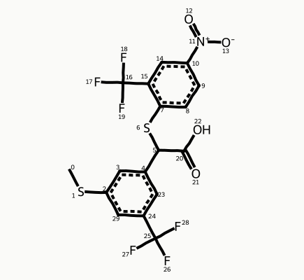 CSc1cc(C(Sc2ccc([N+](=O)[O-])cc2C(F)(F)F)C(=O)O)cc(C(F)(F)F)c1